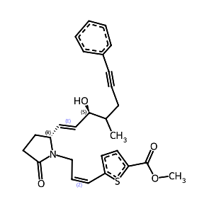 COC(=O)c1ccc(/C=C\CN2C(=O)CC[C@@H]2/C=C/[C@@H](O)C(C)CC#Cc2ccccc2)s1